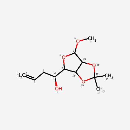 C=CC[C@H](O)C1OC(OC)C2OC(C)(C)OC21